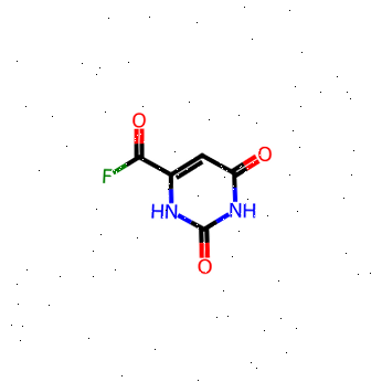 O=C(F)c1cc(=O)[nH]c(=O)[nH]1